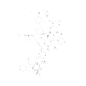 O=C(O)c1ccccc1Nc1nc(O)nc(Nc2cc(Nc3cc(Oc4ccc(-c5ccc(S(=O)(=O)O)cc5)cc4SOOO)c4[nH]c(=O)c(C(=O)c5cccc(SOOO)c5)c5c4c3C(=O)c3ccccc3-5)c(SOOO)cc2S(=O)(=O)O)n1